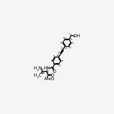 COC(=O)[C@@H](NC(=O)c1ccc(C#Cc2ccc(CO)cc2)cc1)[C@@H](C)N